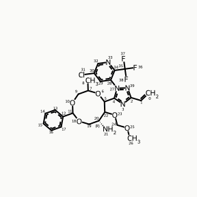 C=Cc1nc(C2OC(C)COC(c3ccccc3)OC[C@@H](N)C2OCOC)n(-c2cc(Cl)cnc2C(F)(F)F)n1